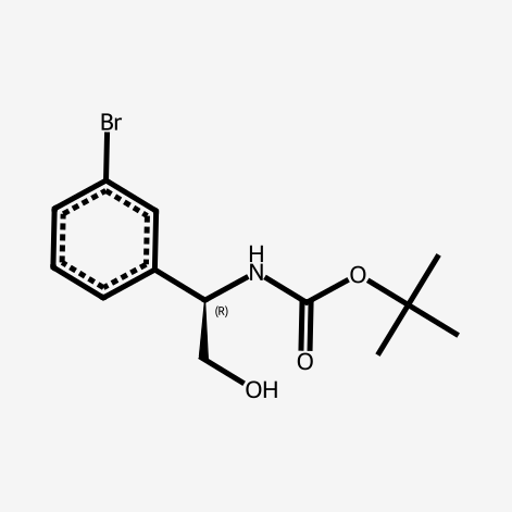 CC(C)(C)OC(=O)N[C@@H](CO)c1cccc(Br)c1